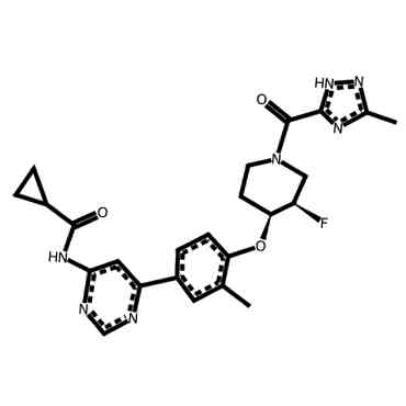 Cc1n[nH]c(C(=O)N2CC[C@H](Oc3ccc(-c4cc(NC(=O)C5CC5)ncn4)cc3C)[C@H](F)C2)n1